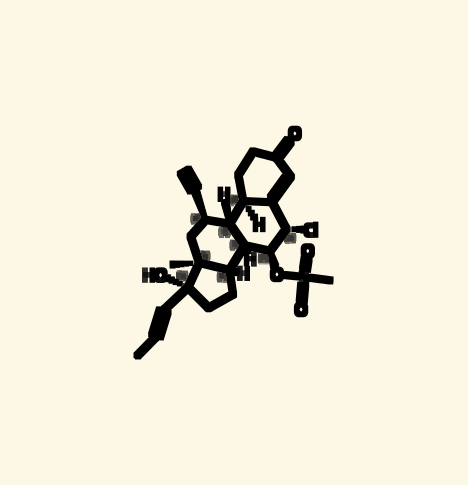 C#C[C@@H]1C[C@@]2(C)[C@@H](CC[C@@]2(O)C#CC)[C@@H]2[C@H](OS(C)(=O)=O)[C@@H](Cl)C3=CC(=O)CC[C@@H]3[C@H]21